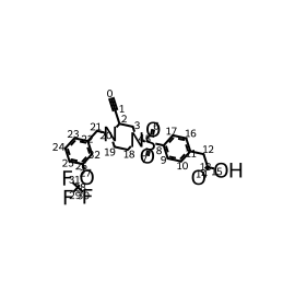 C#CC1CN(S(=O)(=O)c2ccc(CC(=O)O)cc2)CCN1Cc1cccc(OC(F)(F)F)c1